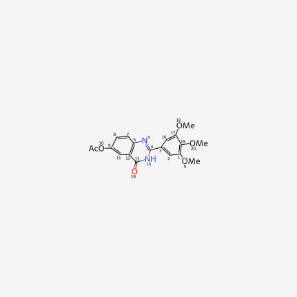 COc1cc(-c2nc3ccc(OC(C)=O)cc3c(=O)[nH]2)cc(OC)c1OC